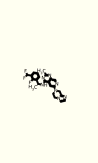 Cc1nc(N[C@H](C)c2cccc(C(F)F)c2F)c2cc(N3CCn4ccnc4C3)ncc2n1